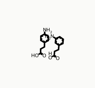 Nc1ccc(CCC(=O)O)cc1.Nc1cccc(CCC(=O)O)c1